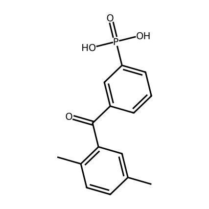 Cc1ccc(C)c(C(=O)c2cccc(P(=O)(O)O)c2)c1